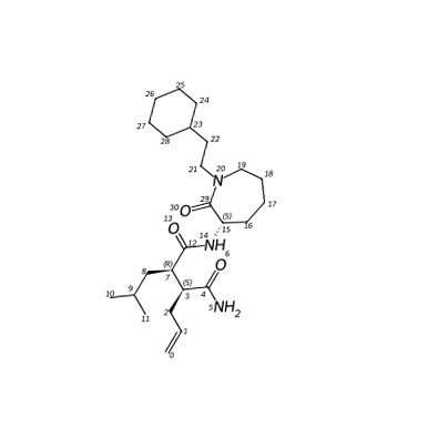 C=CC[C@H](C(N)=O)[C@@H](CC(C)C)C(=O)N[C@H]1CCCCN(CCC2CCCCC2)C1=O